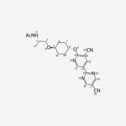 CC(=O)N[C@@H](C)CO[C@H]1CC[C@H](Oc2ncc(-c3ncc(C#N)cn3)cc2C#N)CC1